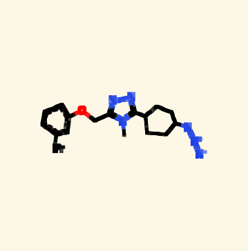 CC(C)c1cccc(OCc2nnc(C3CCC(N=[N+]=[N-])CC3)n2C)c1